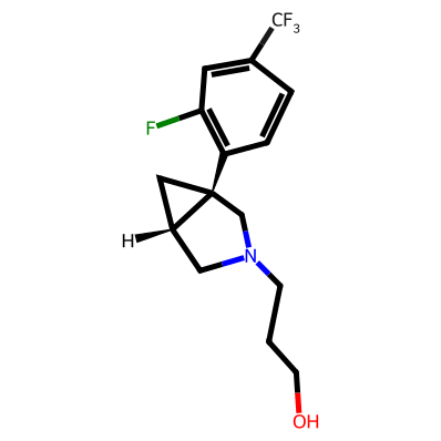 OCCCN1C[C@@H]2C[C@]2(c2ccc(C(F)(F)F)cc2F)C1